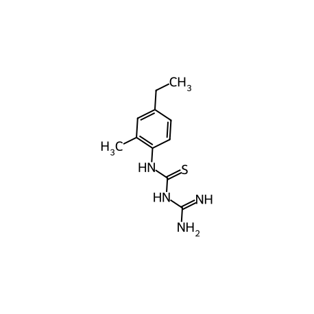 CCc1ccc(NC(=S)NC(=N)N)c(C)c1